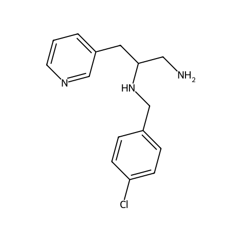 NCC(Cc1cccnc1)NCc1ccc(Cl)cc1